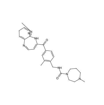 Cc1cc(C(=O)C2=CC=NC3=CCC=C4N(C)N=CC34N2)ccc1CNC(=O)N1CCCN(C)CC1